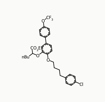 CCCCC(Oc1cc(-c2ccc(OC(F)(F)F)cc2)ccc1OCCCCc1ccc(Cl)cc1)C(=O)OCC